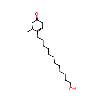 CC1CC(=O)CC=C1CCCCCCCCCCCCO